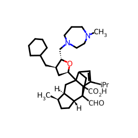 CC(C)C1=CC2CC3(C=O)[C@@H]4CC[C@@H](C)[C@H]4CC2([C@H]2C[C@@H](CC4CCCCC4)[C@H](CN4CCCN(C)CC4)O2)C13C(=O)O